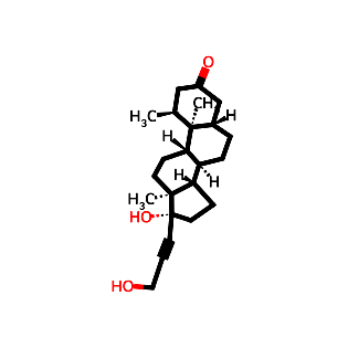 C[C@H]1CC(=O)C[C@@H]2CC[C@@H]3[C@H](CC[C@@]4(C)[C@H]3CC[C@@]4(O)C#CCO)[C@]21C